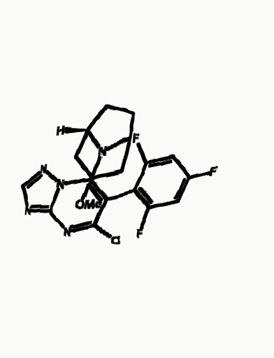 COC1CC2CC[C@@H](C1)N2c1c(-c2c(F)cc(F)cc2F)c(Cl)nc2ncnn12